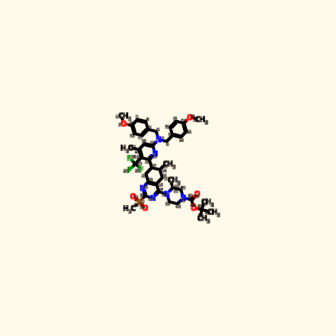 COc1ccc(CN(Cc2ccc(OC)cc2)c2cc(C)c(C(F)(F)F)c(C3Cc4nc(S(C)(=O)=O)nc(N5CCN(C(=O)OC(C)(C)C)C[C@@H]5C)c4CC3C)n2)cc1